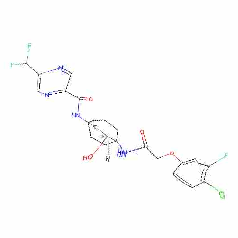 O=C(COc1ccc(Cl)c(F)c1)NC12CCC(NC(=O)c3cnc(C(F)F)cn3)(CC1)C[C@@H]2O